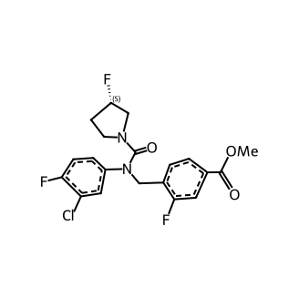 COC(=O)c1ccc(CN(C(=O)N2CC[C@H](F)C2)c2ccc(F)c(Cl)c2)c(F)c1